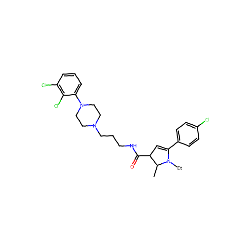 CCN1C(c2ccc(Cl)cc2)=CC(C(=O)NCCCN2CCN(c3cccc(Cl)c3Cl)CC2)C1C